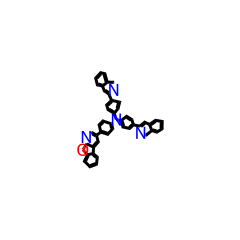 c1ccc2cc(-c3ccc(N(c4ccc(-c5cnc6oc7ccccc7c6c5)cc4)c4ccc(-c5cc6ccccc6cn5)cc4)cc3)ncc2c1